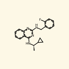 C[C@@H](Nc1nc(NCc2ccccc2F)nc2ccccc12)C1CC1